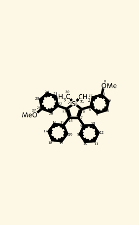 COc1cccc(C2=C(c3ccccc3)C(c3ccccc3)=C(c3cccc(OC)c3)[Si]2(C)C)c1